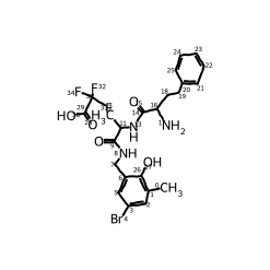 Cc1cc(Br)cc(CNC(=O)C(C)NC(=O)C(N)CCc2ccccc2)c1O.O=C(O)C(F)(F)F